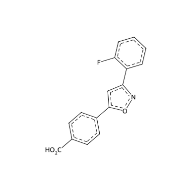 O=C(O)c1ccc(-c2cc(-c3ccccc3F)no2)cc1